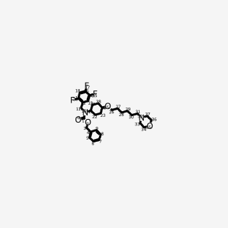 O=C(OCc1ccccc1)N(Cc1cc(F)c(F)cc1F)C1CCC(OCCCCCCN2CCOCC2)CC1